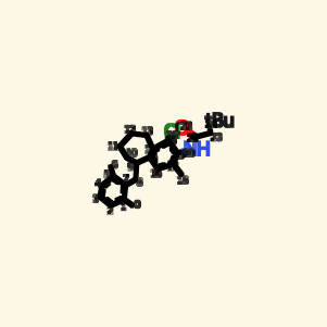 Cc1cccc(C)c1CC1CCCCc2c1cc(C)c(NC(=O)CC(C)(C)C)c2Cl